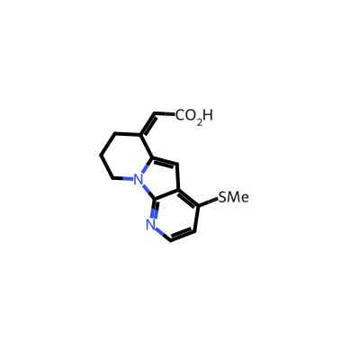 CSc1ccnc2c1cc1n2CCC/C1=C/C(=O)O